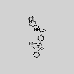 O=C(NCc1ccn2ccnc2c1)c1ccc(O[C@@]2(C(=O)c3ccccc3)CCNC2)cc1